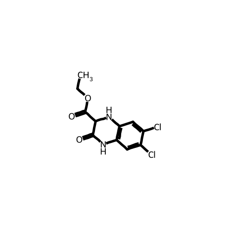 CCOC(=O)C1Nc2cc(Cl)c(Cl)cc2NC1=O